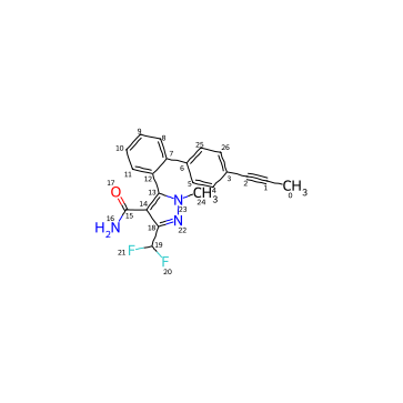 CC#Cc1ccc(-c2ccccc2-c2c(C(N)=O)c(C(F)F)nn2C)cc1